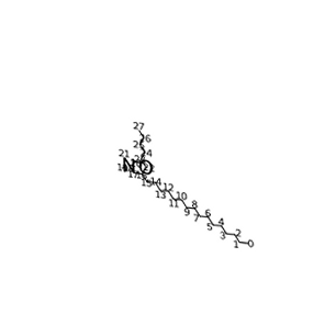 CCCCCCCCCCCCCCCCC(C[N+](C)(C)C)OCCCCC